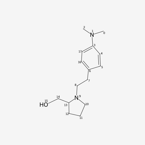 CN(C)c1ccc(CCN2CCCC2CO)cc1